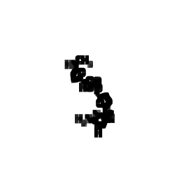 CN[C@H]1CC[C@@H](COP(=O)(O)OC[C@@H]2CC[C@H](n3cnc4c3N=C(N)NC4)O2)O1